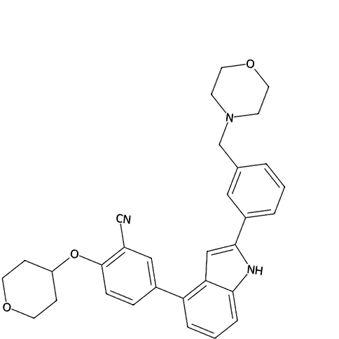 N#Cc1cc(-c2cccc3[nH]c(-c4cccc(CN5CCOCC5)c4)cc23)ccc1OC1CCOCC1